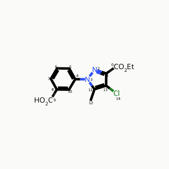 CCOC(=O)c1nn(-c2cccc(C(=O)O)c2)c(C)c1Cl